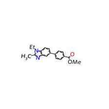 CCn1c(C)nc2cc(-c3ccc(C(=O)OC)cc3)ccc21